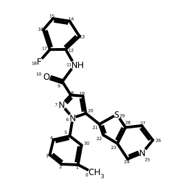 Cc1cccc(-n2nc(C(=O)Nc3ccccc3F)cc2-c2cc3cnccc3s2)c1